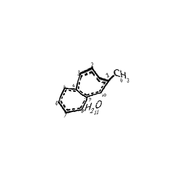 Cc1ccc2ccccc2c1.O